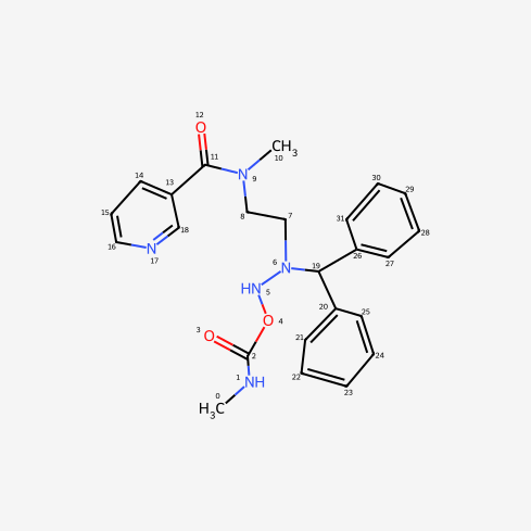 CNC(=O)ONN(CCN(C)C(=O)c1cccnc1)C(c1ccccc1)c1ccccc1